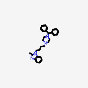 Cc1nc2ccccc2n1CCCCN1CCN(C(c2ccccc2)c2ccccc2)CC1